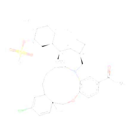 COC(=O)c1ccc2c(c1)N(C[C@@H]1CC[C@H]1[C@@H](OC)[C@H]1C[C@H](OS(C)(=O)=O)[C@H](C)C[C@@H]1C)CCCCC1C=C(Cl)C=CC1(C)CO2